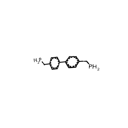 PCc1ccc(-c2ccc(CP)cc2)cc1